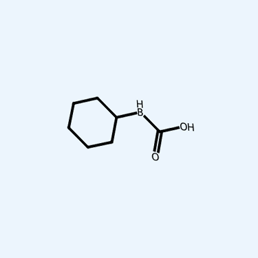 O=C(O)BC1CCCCC1